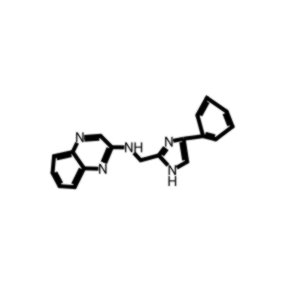 c1ccc(-c2c[nH]c(CNc3cnc4ccccc4n3)n2)cc1